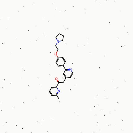 Cc1cccc(C(=O)Cc2ccnc(-c3ccc(OCCN4CCCC4)cc3)c2)n1